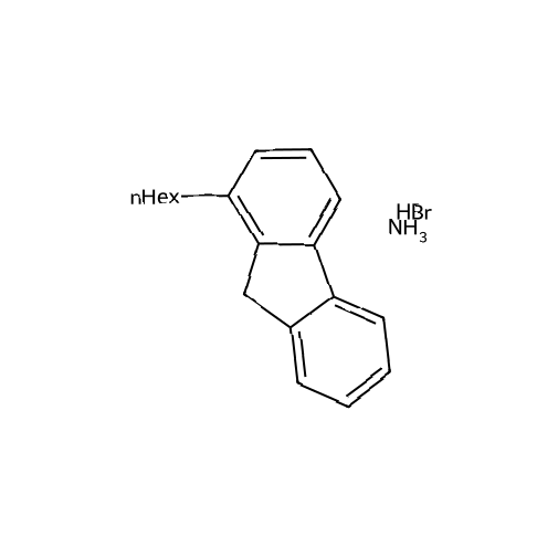 Br.CCCCCCc1cccc2c1Cc1ccccc1-2.N